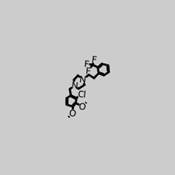 COc1ccc(CN2CCN(CCc3ccccc3C(F)(F)F)CC2)c(Cl)c1OC